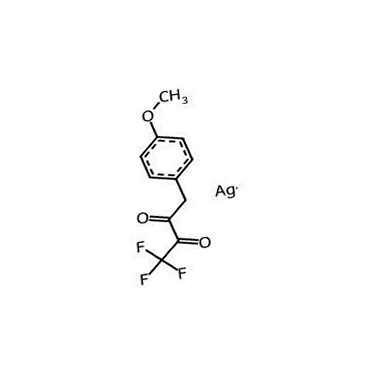 COc1ccc(CC(=O)C(=O)C(F)(F)F)cc1.[Ag]